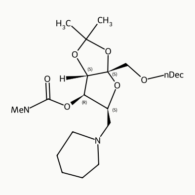 CCCCCCCCCCOC[C@@]12O[C@@H](CN3CCCCC3)[C@@H](OC(=O)NC)[C@@H]1OC(C)(C)O2